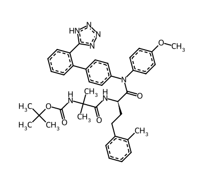 COc1ccc(N(C(=O)[C@@H](CCc2ccccc2C)NC(=O)C(C)(C)NC(=O)OC(C)(C)C)c2ccc(-c3ccccc3-c3nnn[nH]3)cc2)cc1